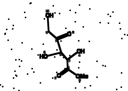 COC(=O)C(O)C(O)C(=O)CO